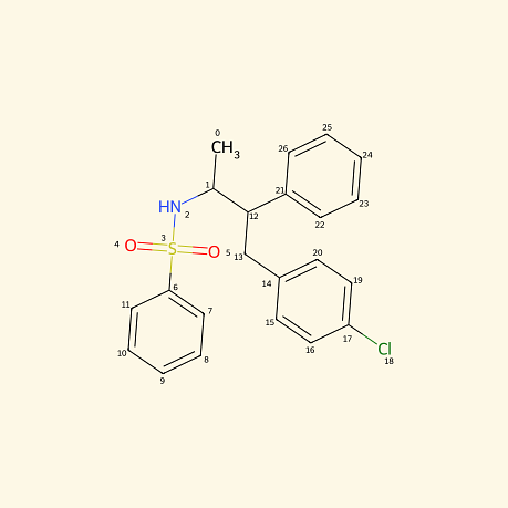 CC(NS(=O)(=O)c1ccccc1)C(Cc1ccc(Cl)cc1)c1ccccc1